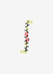 SCCCSCCOCCOCCSCCCS